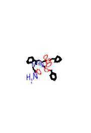 NC(=O)Cn1cc(C[C@H](NC(=O)OCc2ccccc2)C(=O)OCc2ccccc2)c2ccccc21